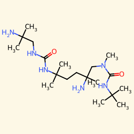 CN(CC(C)(N)CCC(C)(C)NC(=O)NCC(C)(C)N)C(=O)NC(C)(C)C